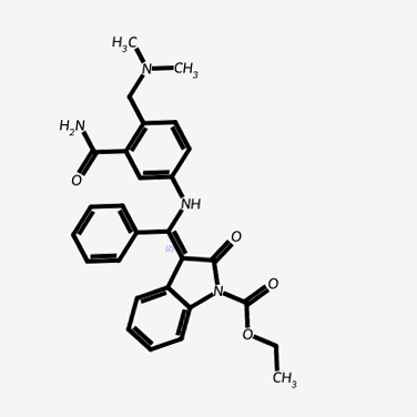 CCOC(=O)N1C(=O)/C(=C(\Nc2ccc(CN(C)C)c(C(N)=O)c2)c2ccccc2)c2ccccc21